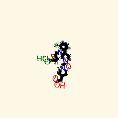 Cl.O=C(O)CC1CCN(CC(=O)N2CCc3c(n(Cc4ccc(Cl)s4)c4c(F)cccc34)C2)CC1